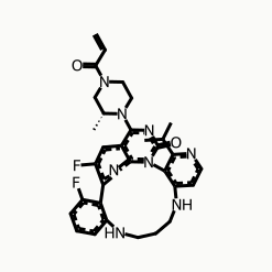 C=CC(=O)N1CCN(c2nc(=O)n3c4nc(c(F)cc24)-c2c(F)cccc2NCCCNc2ccnc(C(C)C)c2-3)[C@H](C)C1